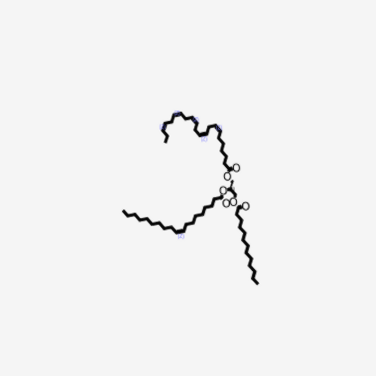 CC/C=C\C/C=C\C/C=C\C/C=C\C/C=C\CCCCCC(=O)OC[C@@H](COC(=O)CCCCCCCCCCCC)OC(=O)CCCCCCC/C=C\CCCCCCCCC